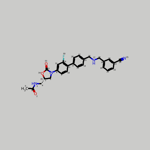 CC(=O)NC[C@H]1CN(c2ccc(-c3ccc(CNCc4cccc(C#N)c4)cc3)c(F)c2)C(=O)O1